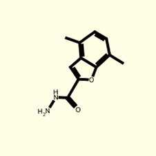 Cc1ccc(C)c2oc(C(=O)NN)cc12